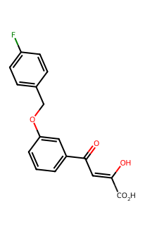 O=C(O)C(O)=CC(=O)c1cccc(OCc2ccc(F)cc2)c1